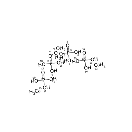 O.O.O=P(O)(O)O.O=P(O)(O)O.O=P(O)(O)O.O=P(O)(O)O.[CaH2].[CaH2]